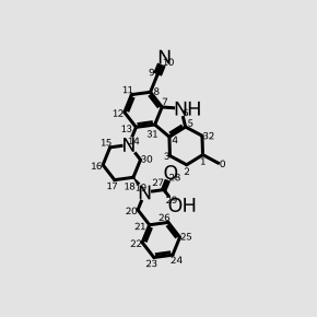 CC1CCc2c([nH]c3c(C#N)ccc(N4CCC[C@H](N(Cc5ccccc5)C(=O)O)C4)c23)C1